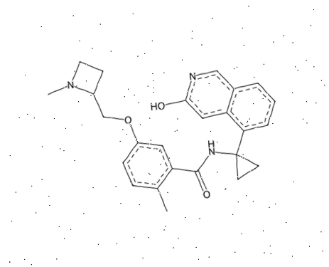 Cc1ccc(OCC2CCN2C)cc1C(=O)NC1(c2cccc3cnc(O)cc23)CC1